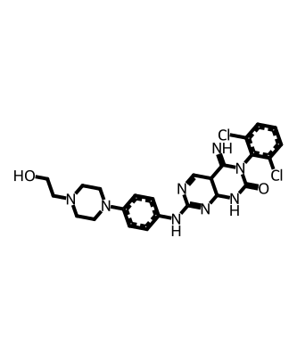 N=C1C2C=NC(Nc3ccc(N4CCN(CCO)CC4)cc3)=NC2NC(=O)N1c1c(Cl)cccc1Cl